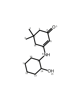 CC1(C)CC(=O)C=C(NC2CCCCC2O)C1